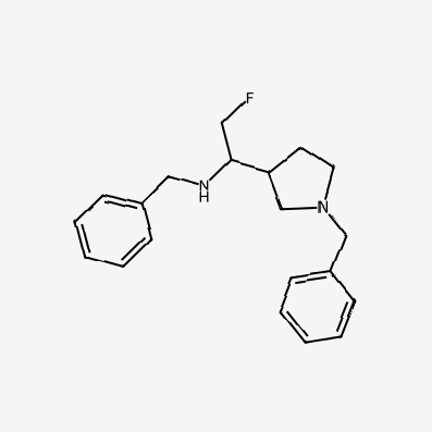 FCC(NCc1ccccc1)C1CCN(Cc2ccccc2)C1